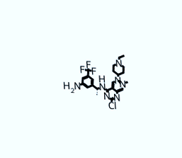 CCN1CCC(N2C=c3c(N[C@H](C)c4cc(N)cc(C(F)(F)F)c4)nc(Cl)nc3=CN2C)CC1